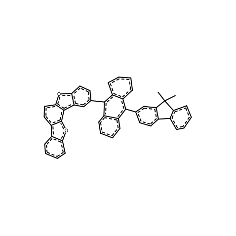 CC1(C)c2ccccc2-c2ccc(-c3c4ccccc4c(-c4ccc5oc6ccc7c8ccccc8oc7c6c5c4)c4ccccc34)cc21